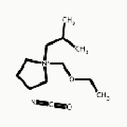 CCOC[N+]1(CC(C)C)CCCC1.[N-]=C=O